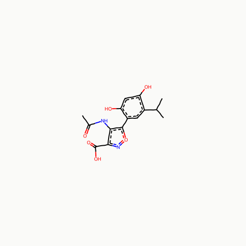 CC(=O)Nc1c(C(=O)O)noc1-c1cc(C(C)C)c(O)cc1O